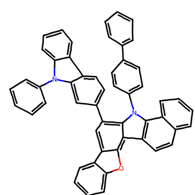 c1ccc(-c2ccc(-n3c4c(-c5ccc6c7ccccc7n(-c7ccccc7)c6c5)cc5c6ccccc6oc5c4c4ccc5ccccc5c43)cc2)cc1